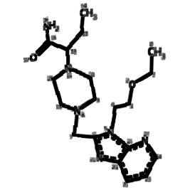 CCOCCn1c(CN2CCN(C(CC)C(N)=O)CC2)nc2cccnc21